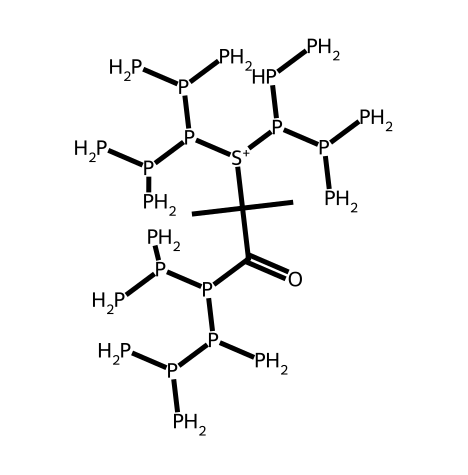 CC(C)(C(=O)P(P(P)P)P(P)P(P)P)[S+](P(PP)P(P)P)P(P(P)P)P(P)P